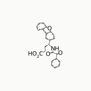 O=C(O)CC[C@H](NC(=O)C(=O)c1ccccc1)c1ccc2oc3ccccc3c2c1